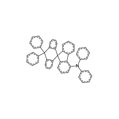 c1ccc(N(c2ccccc2)c2cccc3c2-c2ccccc2C32c3ccccc3C(c3ccccc3)(c3ccccc3)c3ccccc32)cc1